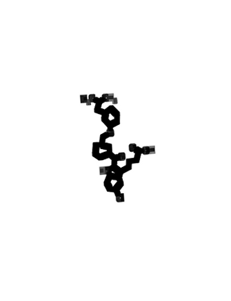 CC(C)Cc1cccc(OCc2cccc(C(=O)c3[nH]c4ccc(Cl)cc4c3CCCC(=O)O)c2)c1